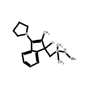 [Li][C]1(C[Si](C)(C)NC(C)(C)C)C(C)=C(N2CCCC2)c2ccccc21